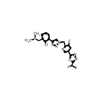 CN(C)Cc1cccc(-c2cn(Cc3ncc(-c4nnc(C(F)F)o4)cc3F)nn2)c1Cl